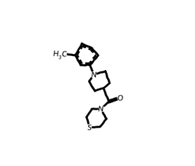 Cc1cccc(N2CCC(C(=O)N3CCSCC3)CC2)c1